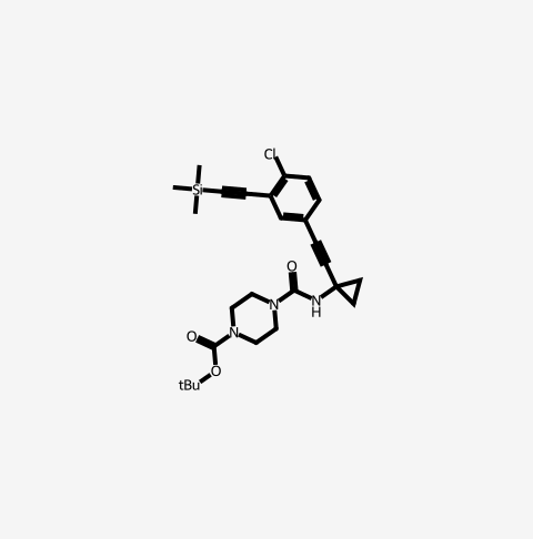 CC(C)(C)OC(=O)N1CCN(C(=O)NC2(C#Cc3ccc(Cl)c(C#C[Si](C)(C)C)c3)CC2)CC1